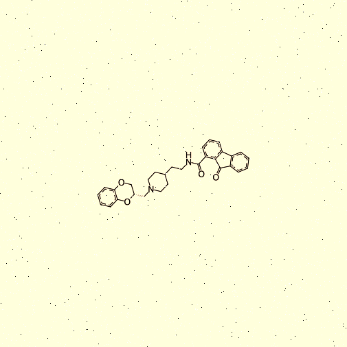 O=C(NCCC1CCN(C[C@H]2COc3ccccc3O2)CC1)c1cccc2c1C(=O)c1ccccc1-2